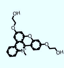 C[n+]1c2c3c(cc(OCCO)cc3c3ccccc31)Oc1cc(OCCO)ccc1-2